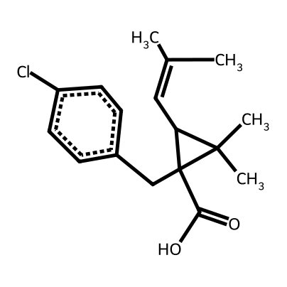 CC(C)=CC1C(C)(C)C1(Cc1ccc(Cl)cc1)C(=O)O